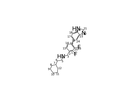 Fc1c(CNCCC2CCCCC2)ccc(-c2ccc3[nH]cnc3c2)c1F